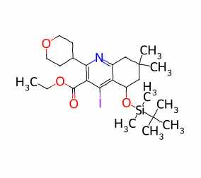 CCOC(=O)c1c(C2CCOCC2)nc2c(c1I)C(O[Si](C)(C)C(C)(C)C)CC(C)(C)C2